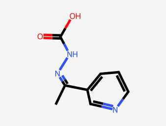 C/C(=N/NC(=O)O)c1cccnc1